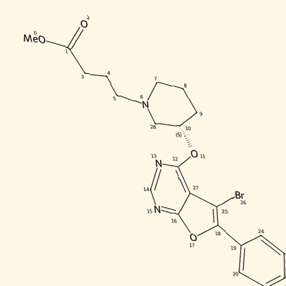 COC(=O)CCCN1CCC[C@H](Oc2ncnc3oc(-c4ccccc4)c(Br)c23)C1